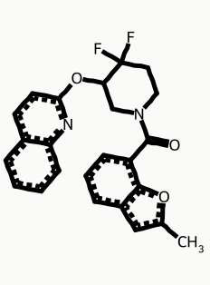 Cc1cc2cccc(C(=O)N3CCC(F)(F)C(Oc4ccc5ccccc5n4)C3)c2o1